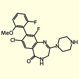 COc1cccc(F)c1-c1c(Cl)cc2c(c1F)N=C(N1CCNCC1)CNC2=O